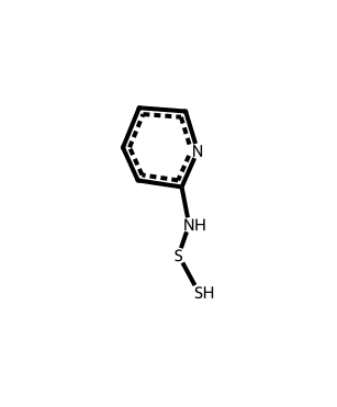 SSNc1ccccn1